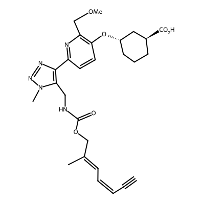 C#C/C=C\C=C(/C)COC(=O)NCc1c(-c2ccc(O[C@H]3CCC[C@H](C(=O)O)C3)c(COC)n2)nnn1C